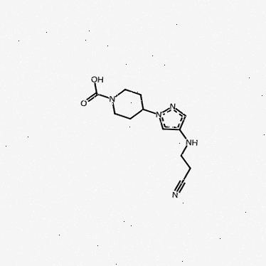 N#CCCNc1cnn(C2CCN(C(=O)O)CC2)c1